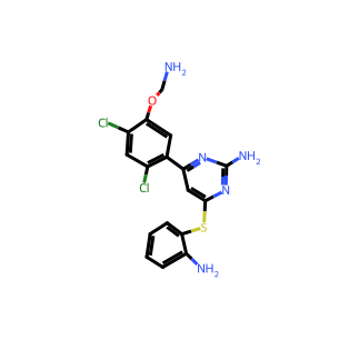 NCOc1cc(-c2cc(Sc3ccccc3N)nc(N)n2)c(Cl)cc1Cl